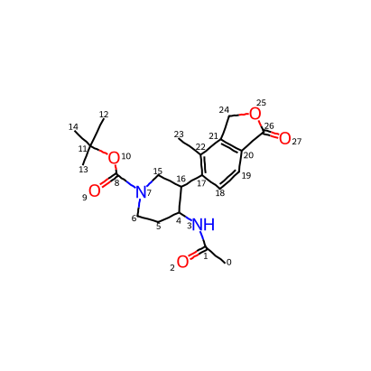 CC(=O)NC1CCN(C(=O)OC(C)(C)C)CC1c1ccc2c(c1C)COC2=O